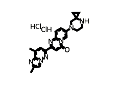 Cc1cn2nc(-c3cc(=O)n4cc(N5CCNC6(CC6)C5)ccc4n3)cc(C)c2n1.Cl.Cl